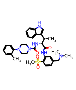 Cc1ccccc1N1CCN(C(=O)N[C@@H](C(=O)Nc2cc(CN(C)C)ccc2S(C)(=O)=O)[C@H](C)c2c[nH]c3ccccc23)CC1